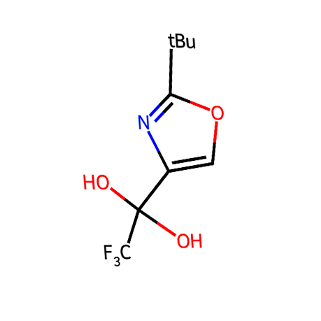 CC(C)(C)c1nc(C(O)(O)C(F)(F)F)co1